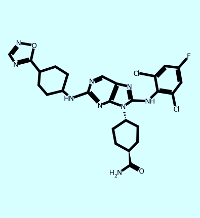 NC(=O)[C@H]1CC[C@H](n2c(Nc3c(Cl)cc(F)cc3Cl)nc3cnc(NC4CCC(c5ncno5)CC4)nc32)CC1